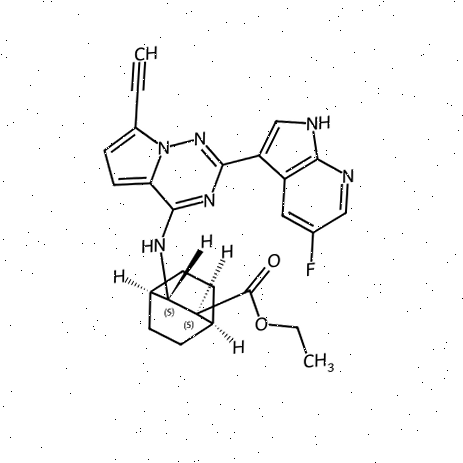 C#Cc1ccc2c(N[C@H]3[C@H]4CC[C@H](CC4)[C@@H]3C(=O)OCC)nc(-c3c[nH]c4ncc(F)cc34)nn12